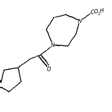 O=C(O)N1CCCN(C(=O)CC2CCCC2)CC1